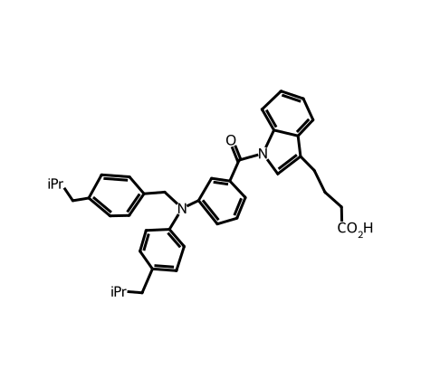 CC(C)Cc1ccc(CN(c2ccc(CC(C)C)cc2)c2cccc(C(=O)n3cc(CCCC(=O)O)c4ccccc43)c2)cc1